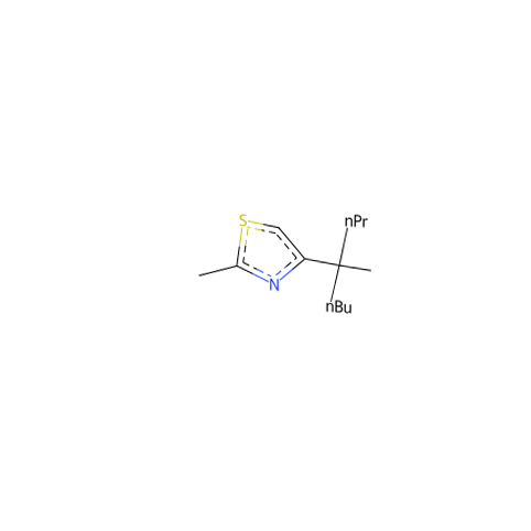 CCCCC(C)(CCC)c1csc(C)n1